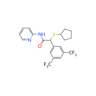 O=C(Nc1ccccn1)C(SC1CCCC1)c1cc(C(F)(F)F)cc(C(F)(F)F)c1